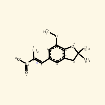 COc1cc(/C=C(\C)[N+](=O)[O-])cc2c1OC(C)(C)C2